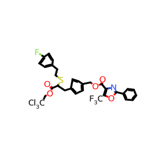 O=C(OCc1ccc(CC(SCCc2ccc(F)cc2)C(=O)OCC(Cl)(Cl)Cl)cc1)c1nc(-c2ccccc2)oc1C(F)(F)F